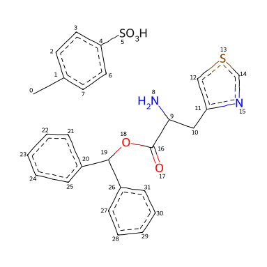 Cc1ccc(S(=O)(=O)O)cc1.NC(Cc1cscn1)C(=O)OC(c1ccccc1)c1ccccc1